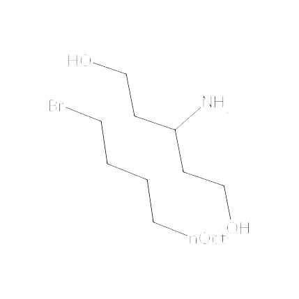 CCCCCCCCCCCCBr.NC(CCO)CCO